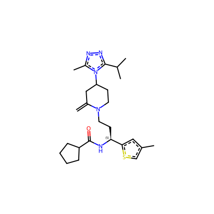 C=C1CC(n2c(C)nnc2C(C)C)CCN1CC[C@H](NC(=O)C1CCCC1)c1cc(C)cs1